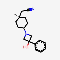 C[C@]1(CC#N)CC[C@@H](N2CC(O)(c3ccccc3)C2)CC1